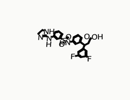 O=C(O)CC(c1cc(F)cc(F)c1)c1cccc(NS(=O)(=O)c2cccc(NC3=NCCN3)c2)c1